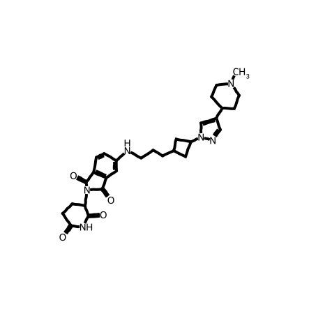 CN1CCC(c2cnn(C3CC(CCCNc4ccc5c(c4)C(=O)N(C4CCC(=O)NC4=O)C5=O)C3)c2)CC1